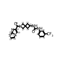 O=C(Nc1cccc(C(F)(F)F)c1)NC1CC2(C1)CN(C(=O)c1cn3ccsc3n1)C2